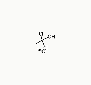 C=O.CC(O)(Cl)Cl